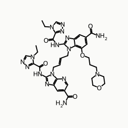 CCn1cnnc1C(=O)Nc1nc2cc(C(N)=O)cnc2n1CC=CCn1c(NC(=O)c2nncn2CC)nc2cc(C(N)=O)cc(OCCCN3CCOCC3)c21